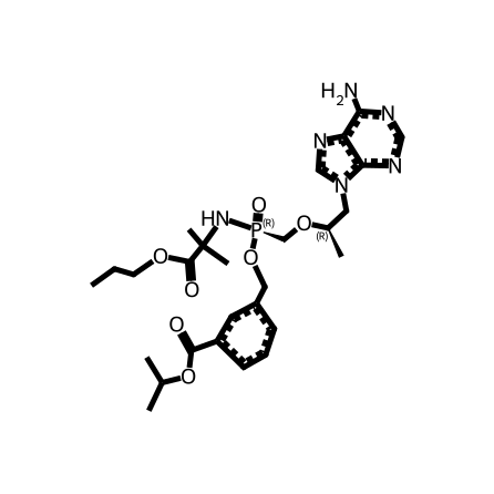 CCCOC(=O)C(C)(C)N[P@@](=O)(CO[C@H](C)Cn1cnc2c(N)ncnc21)OCc1cccc(C(=O)OC(C)C)c1